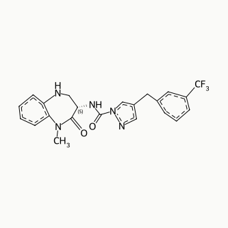 CN1C(=O)[C@@H](NC(=O)n2cc(Cc3cccc(C(F)(F)F)c3)cn2)CNc2ccccc21